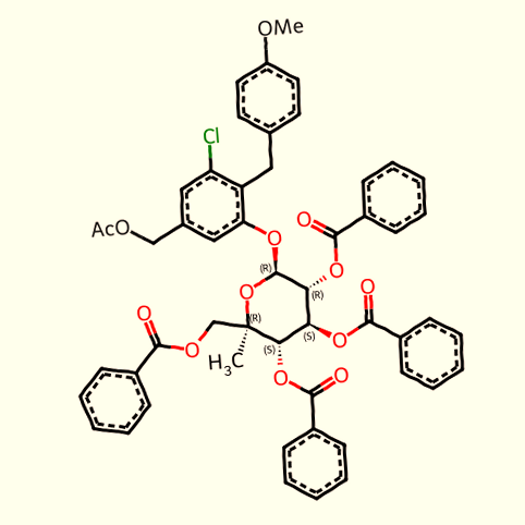 COc1ccc(Cc2c(Cl)cc(COC(C)=O)cc2O[C@@H]2O[C@](C)(COC(=O)c3ccccc3)[C@@H](OC(=O)c3ccccc3)[C@H](OC(=O)c3ccccc3)[C@H]2OC(=O)c2ccccc2)cc1